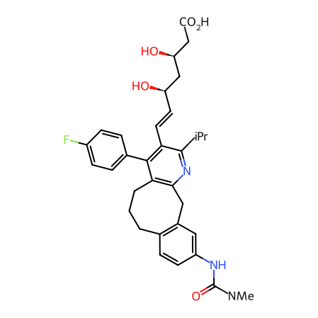 CNC(=O)Nc1ccc2c(c1)Cc1nc(C(C)C)c(/C=C/[C@@H](O)C[C@@H](O)CC(=O)O)c(-c3ccc(F)cc3)c1CCC2